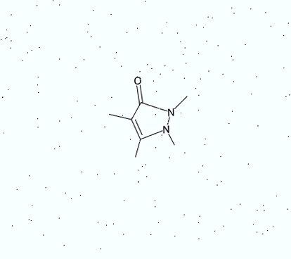 Cc1c(C)n(C)n(C)c1=O